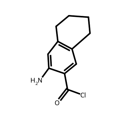 Nc1cc2c(cc1C(=O)Cl)CCCC2